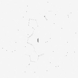 CC1[C@H](O)OC(=O)N1c1ccc(N2CC[C@H](NC(=O)OC(C)(C)C)C2)c(F)c1